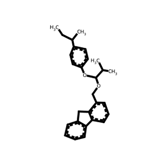 CCC(C)c1ccc(OC(OCc2cccc3c2Cc2ccccc2-3)C(C)C)cc1